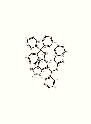 c1ccc(C(Cc2nc3ccccc3o2)c2cc(NC(c3ccccc3)(c3ccccc3)c3ccccc3)nc3[nH]nnc23)cc1